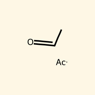 CC=O.[Ac]